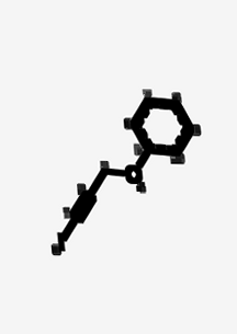 IC#CCOc1ccccc1